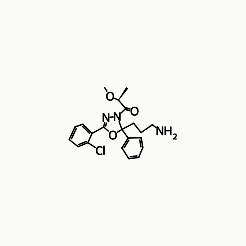 CO[C@@H](C)C(=O)N1N=C(c2ccccc2Cl)OC1(CCCN)c1ccccc1